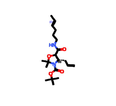 C=CC[C@H]1C(C(=O)NCCC/C=C/C)OC(C)(C)N1C(=O)OC(C)(C)C